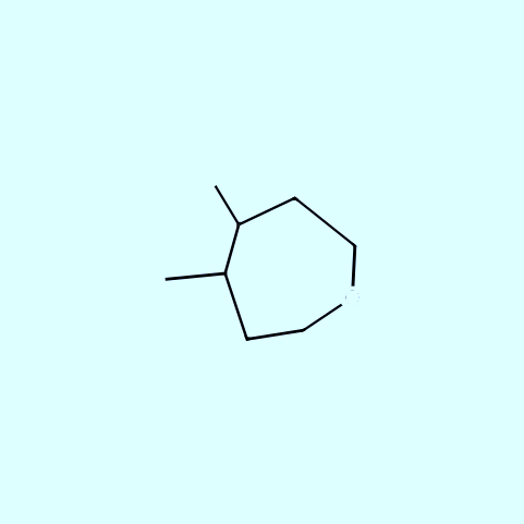 CC1CCOCCC1C